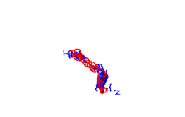 Nc1ncnc2c1c(-c1ccc(Oc3ccccc3)cc1)nn2[C@@H]1CCCN(C(=O)CCCN2CCN(C(=O)COCCOCCOCCOCCNc3cccc4c3CN(C3CCC(=O)NC3=O)C4=O)CC2)C1